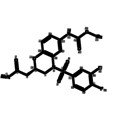 CNC(=O)C[C@@H]1CN(S(=O)(=O)c2ccc(F)c(Cl)c2)c2cc(NC(=O)OC(C)(C)C)ccc2O1